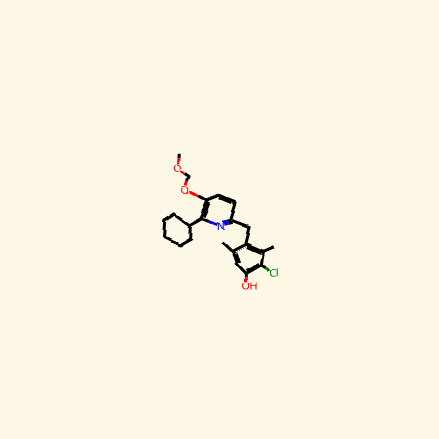 COCOc1ccc(Cc2c(C)cc(O)c(Cl)c2C)nc1C1CCCCC1